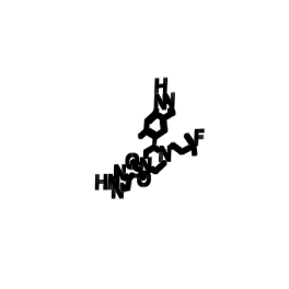 Cc1cc2[nH]ncc2cc1[C@@H]1CN(S(=O)(=O)c2cn[nH]n2)CCN1CCC(C)(C)F